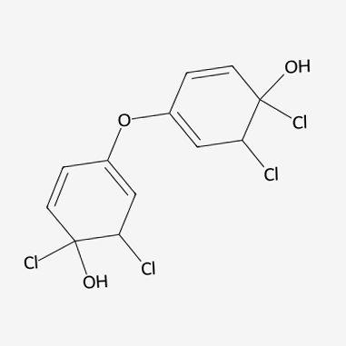 OC1(Cl)C=CC(OC2=CC(Cl)C(O)(Cl)C=C2)=CC1Cl